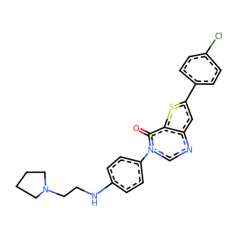 O=c1c2sc(-c3ccc(Cl)cc3)cc2ncn1-c1ccc(NCCN2CCCC2)cc1